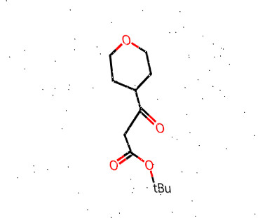 CC(C)(C)OC(=O)CC(=O)C1CCOCC1